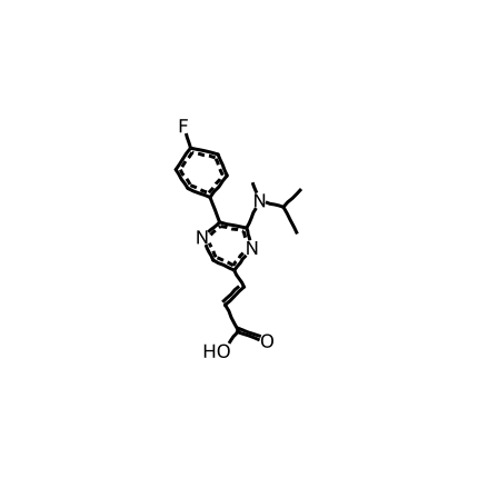 CC(C)N(C)c1nc(/C=C/C(=O)O)cnc1-c1ccc(F)cc1